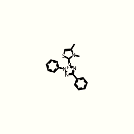 CC1=CSC(n2nc(-c3ccccc3)n[n+]2-c2ccccc2)N1C